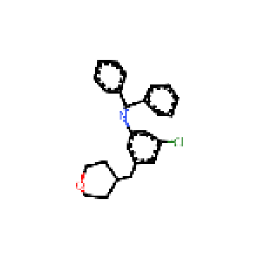 Clc1cc(CC2CCOCC2)cc(N=C(c2ccccc2)c2ccccc2)c1